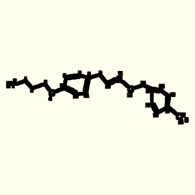 CC(C)CCCOc1ccc(CC=NOCc2ccc(C(F)(F)F)cc2)cc1